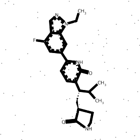 CCn1ncc2c(F)cc(-c3ccc([C@@H](C[C@H]4CCNC4=O)C(C)C)c(=O)[nH]3)cc21